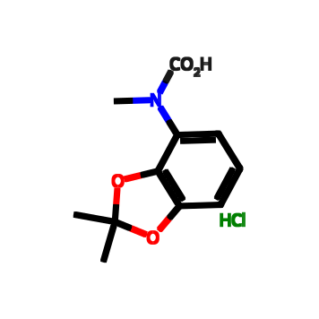 CN(C(=O)O)c1cccc2c1OC(C)(C)O2.Cl